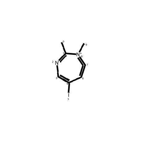 CC1=NC=C(I)C=C=[N+]1C